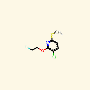 CSc1ccc(Cl)c(OCCF)n1